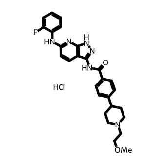 COCCN1CCC(c2ccc(C(=O)Nc3n[nH]c4nc(Nc5ccccc5F)ccc34)cc2)CC1.Cl